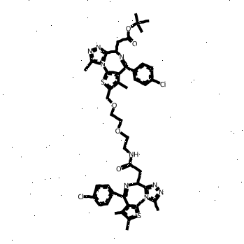 Cc1sc2c(c1C)C(c1ccc(Cl)cc1)=NC(CC(=O)NCCOCCOCc1sc3c(c1C)C(c1ccc(Cl)cc1)=NC(CC(=O)OC(C)(C)C)c1nnc(C)n1-3)c1nnc(C)n1-2